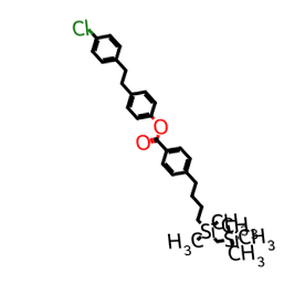 C[Si](C)(C)C[Si](C)(C)CCCCc1ccc(C(=O)Oc2ccc(CCc3ccc(Cl)cc3)cc2)cc1